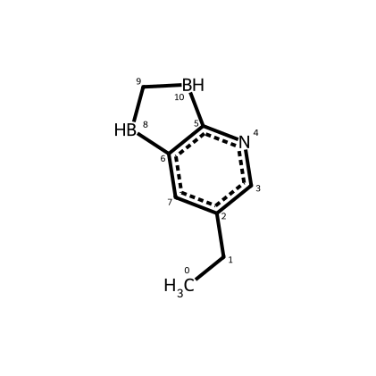 CCc1cnc2c(c1)BCB2